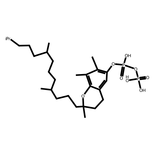 Cc1c(OP(=O)(O)OP(=O)(O)O)cc2c(c1C)OC(C)(CCCC(C)CCCC(C)CCCC(C)C)CC2